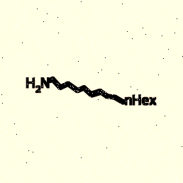 CCCCCCCCCC=CCCCCCN